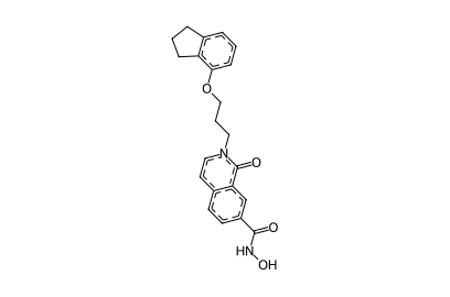 O=C(NO)c1ccc2ccn(CCCOc3cccc4c3CCC4)c(=O)c2c1